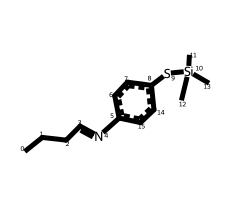 CCCC=Nc1ccc(S[Si](C)(C)C)cc1